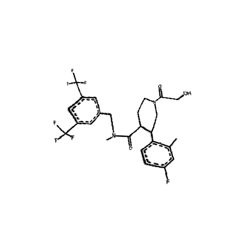 Cc1cc(F)ccc1C1CN(C(=O)CO)CCC1C(=O)N(C)Cc1cc(C(F)(F)F)cc(C(F)(F)F)c1